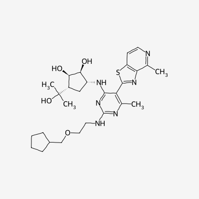 Cc1nc(NCCOCC2CCCC2)nc(N[C@@H]2C[C@H](C(C)(C)O)[C@@H](O)[C@H]2O)c1-c1nc2c(C)nccc2s1